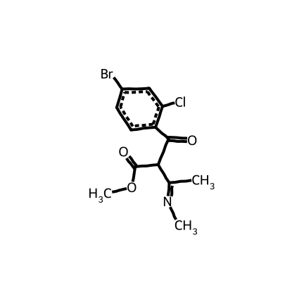 C/N=C(\C)C(C(=O)OC)C(=O)c1ccc(Br)cc1Cl